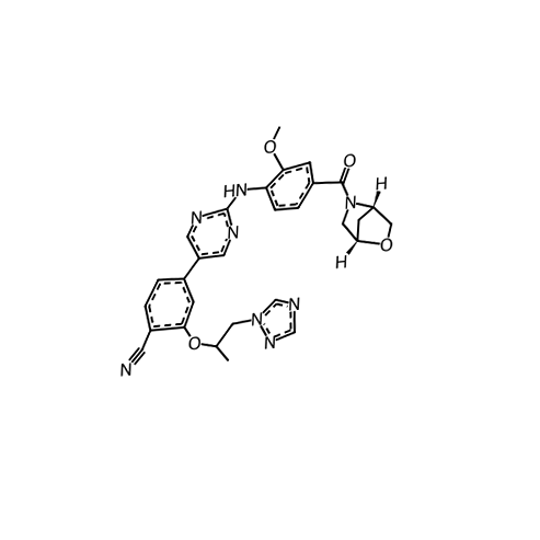 COc1cc(C(=O)N2C[C@@H]3C[C@H]2CO3)ccc1Nc1ncc(-c2ccc(C#N)c(OC(C)Cn3cncn3)c2)cn1